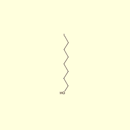 OCCCCCCCI